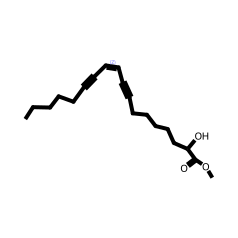 CCCCCC#C/C=C\C#CCCCCCC(O)C(=O)OC